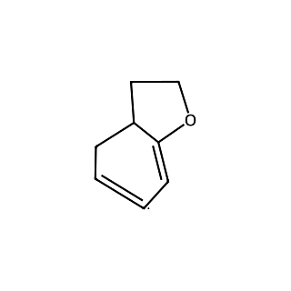 [C]1=CCC2CCOC2=C1